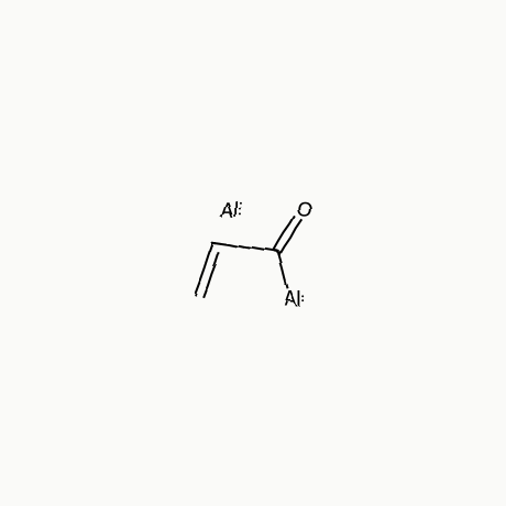 C=C[C](=O)[Al].[Al]